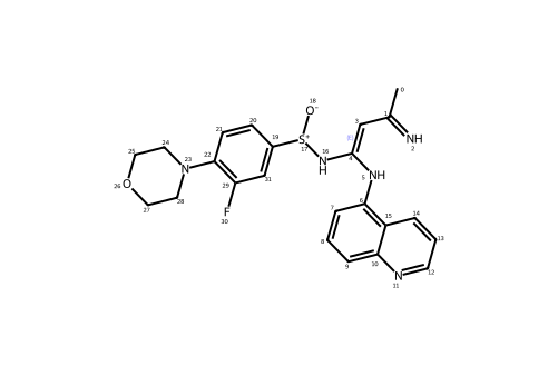 CC(=N)/C=C(\Nc1cccc2ncccc12)N[S+]([O-])c1ccc(N2CCOCC2)c(F)c1